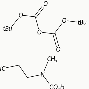 CC(C)(C)OC(=O)OC(=O)OC(C)(C)C.CN(CCC#N)C(=O)O